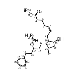 CC(C)OC(=O)CCC/C=C\C[C@@H]1[C@@H](CC[C@H](CCc2ccccc2)OPP)[C@H](C)C[C@@H]1O